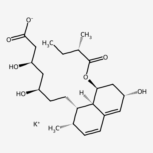 CC[C@H](C)C(=O)O[C@H]1C[C@H](O)C=C2C=C[C@H](C)[C@H](CC[C@@H](O)C[C@@H](O)CC(=O)[O-])[C@H]21.[K+]